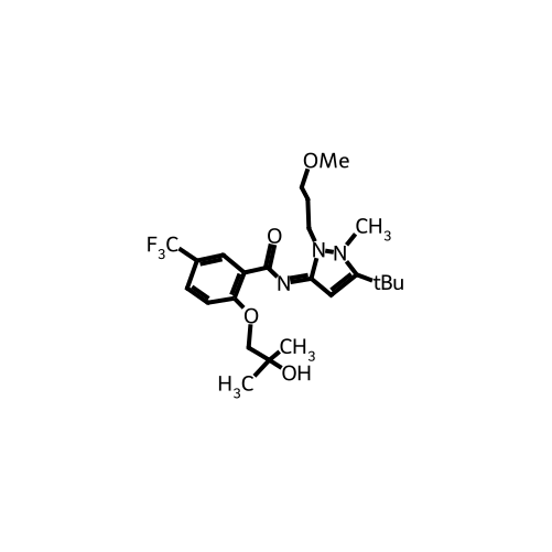 COCCCn1c(=NC(=O)c2cc(C(F)(F)F)ccc2OCC(C)(C)O)cc(C(C)(C)C)n1C